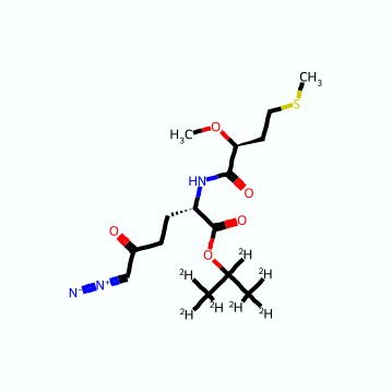 [2H]C([2H])([2H])C([2H])(OC(=O)[C@H](CCC(=O)C=[N+]=[N-])NC(=O)[C@H](CCSC)OC)C([2H])([2H])[2H]